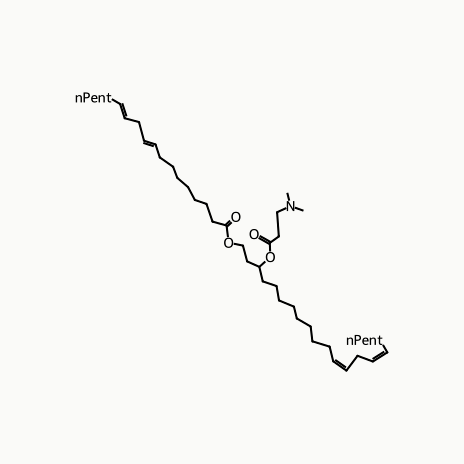 CCCCC/C=C\C/C=C\CCCCCCCCC(CCOC(=O)CCCCCCC/C=C/C/C=C/CCCCC)OC(=O)CCN(C)C